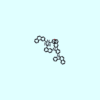 c1ccc(-c2nc(-c3ccc4ccc5ccccc5c4c3)nc(-c3cccc4ccc(-n5c6cc(-n7c8ccccc8c8c9ccccc9ccc87)ccc6c6cc7ccccc7cc65)cc34)n2)cc1